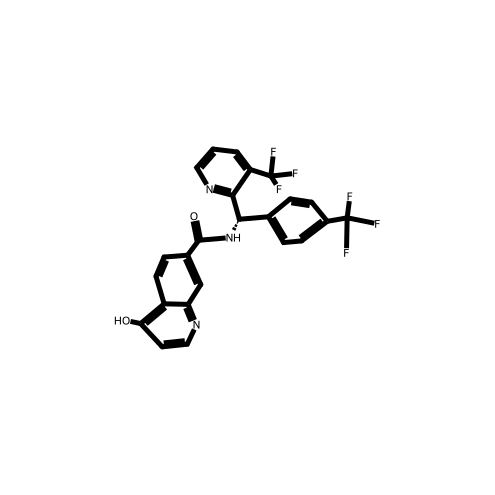 O=C(N[C@@H](c1ccc(C(F)(F)F)cc1)c1ncccc1C(F)(F)F)c1ccc2c(O)ccnc2c1